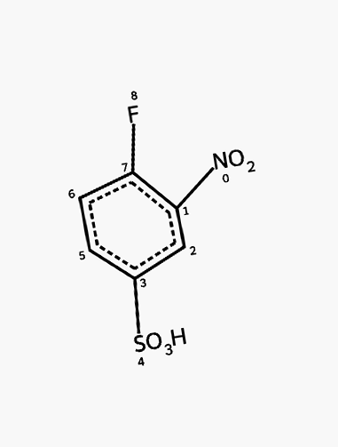 O=[N+]([O-])c1cc(S(=O)(=O)O)ccc1F